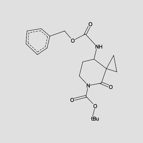 CC(C)(C)OC(=O)N1CCC(NC(=O)OCc2ccccc2)C2(CC2)C1=O